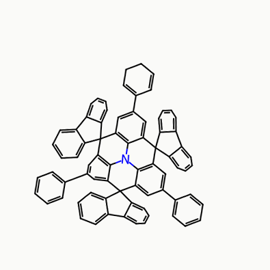 C1=CC(c2cc3c4c(c2)C2(c5ccccc5-c5ccccc52)c2cc(-c5ccccc5)cc5c2N4c2c(cc(-c4ccccc4)cc2C52c4ccccc4-c4ccccc42)C32c3ccccc3-c3ccccc32)=CCC1